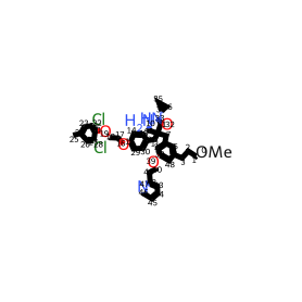 COCCCc1cc(CC(CN)(Cc2ccc(OCCOc3c(Cl)cc(C)cc3Cl)cc2)C(=O)NC2CC2)cc(OCCc2ccccn2)c1